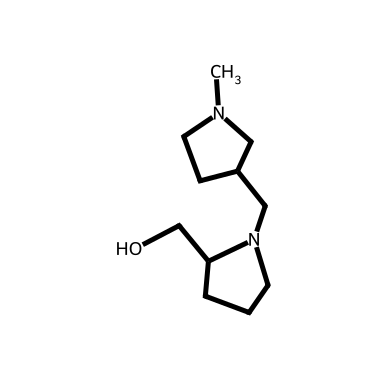 CN1CCC(CN2CCCC2CO)C1